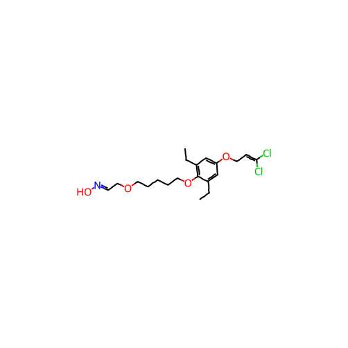 CCc1cc(OCC=C(Cl)Cl)cc(CC)c1OCCCCCOCC=NO